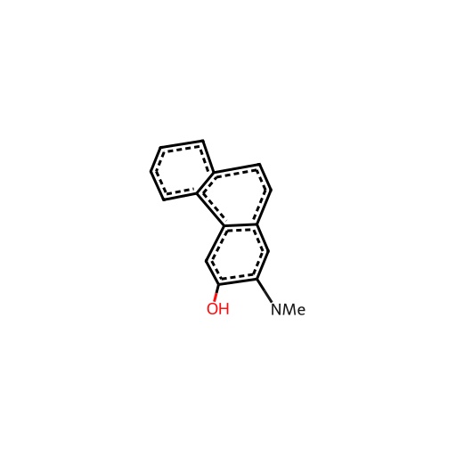 CNc1cc2ccc3ccccc3c2cc1O